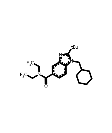 CC(C)(C)c1nc2cc(C(=O)N(CC(F)(F)F)CC(F)(F)F)ccc2n1CC1CCCCC1